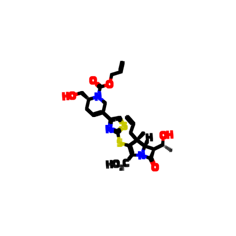 C=CCOC(=O)N1CC(c2csc(SC3=C(C(=O)O)N4C(=O)[C@H]([C@@H](C)O)[C@H]4[C@@]3(C)CC=C)n2)=CC[C@H]1CO